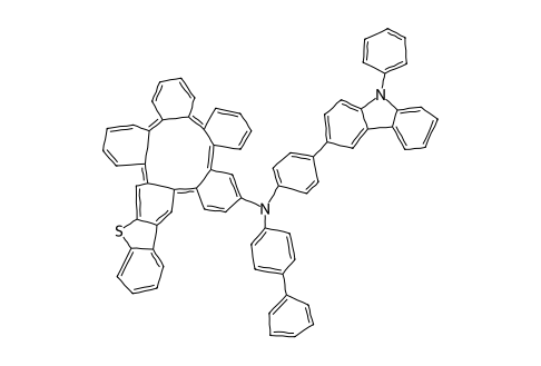 c1ccc(-c2ccc(N(c3ccc(-c4ccc5c(c4)c4ccccc4n5-c4ccccc4)cc3)c3ccc4c(c3)c3ccccc3c3ccccc3c3ccccc3c3cc5sc6ccccc6c5cc43)cc2)cc1